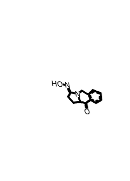 O=C1c2ccccc2CN2C(=NO)CCC12